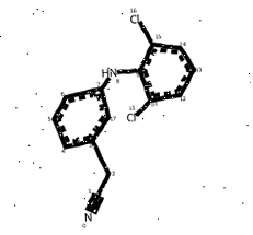 N#CCc1cccc(Nc2c(Cl)cccc2Cl)c1